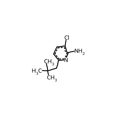 CC(C)(C)Cc1ccc(Cl)c(N)n1